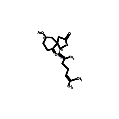 C=C1CC[C@@H](OC(C)=O)CC12CC(=O)O[C@@H]2/C=C(\C)CCC=C(C)C